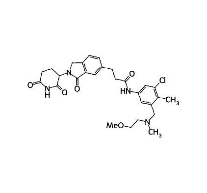 COCCN(C)Cc1cc(NC(=O)CCc2ccc3c(c2)C(=O)N(C2CCC(=O)NC2=O)C3)cc(Cl)c1C